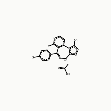 Cc1noc2c1-c1ccnc(F)c1C(c1ccc(Cl)cc1)=N[C@H]2CC(=O)O